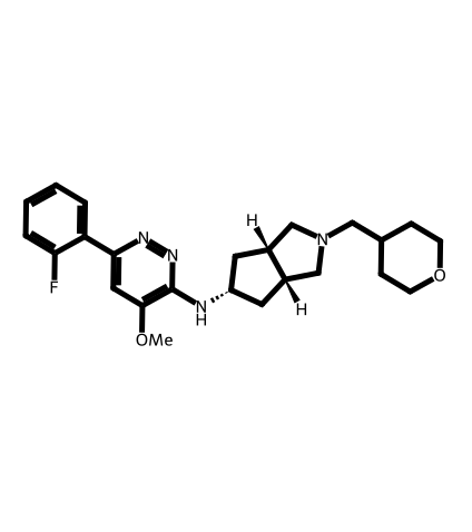 COc1cc(-c2ccccc2F)nnc1N[C@@H]1C[C@@H]2CN(CC3CCOCC3)C[C@@H]2C1